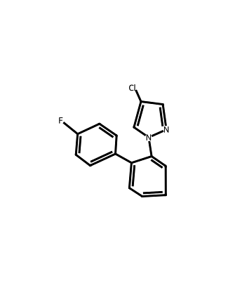 Fc1ccc(-c2ccccc2-n2cc(Cl)cn2)cc1